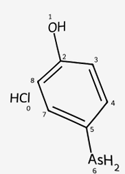 Cl.Oc1ccc([AsH2])cc1